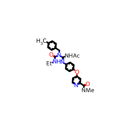 CCNC(=O)N(Cc1ccc(C)cc1)/C(=N/c1ccc(Oc2ccnc(C(=O)NC)c2)cc1)NC(C)=O